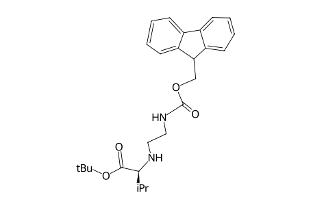 CC(C)[C@H](NCCNC(=O)OCC1c2ccccc2-c2ccccc21)C(=O)OC(C)(C)C